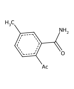 CC(=O)c1ccc(C)cc1C(N)=O